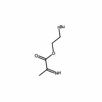 CCCCCCOC(=O)C(C)=N